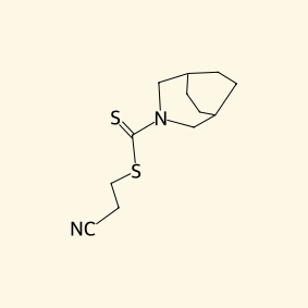 N#CCCSC(=S)N1CC2CCC(CC2)C1